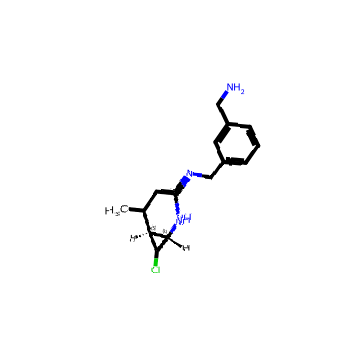 CC1CC(=NCc2cccc(CN)c2)N[C@@H]2C(Cl)[C@@H]12